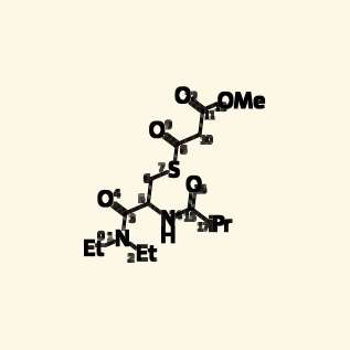 CCN(CC)C(=O)C(CSC(=O)CC(=O)OC)NC(=O)C(C)C